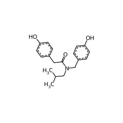 CC(C)CN(Cc1ccc(O)cc1)C(=O)Cc1ccc(O)cc1